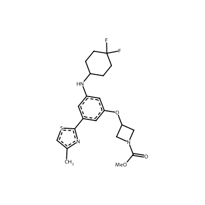 COC(=O)N1CC(Oc2cc(NC3CCC(F)(F)CC3)cc(-c3nc(C)cs3)c2)C1